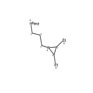 CCCCCCCCN1C(CC)C1CC